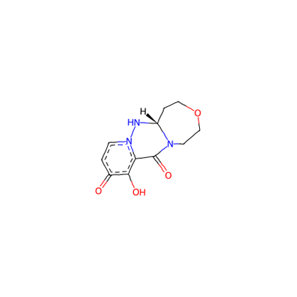 O=C1c2c(O)c(=O)ccn2N[C@@H]2CCOCCN12